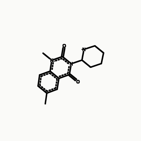 Cc1ccc2c(c1)c(=O)n(C1CCCC[N]1)c(=O)n2C